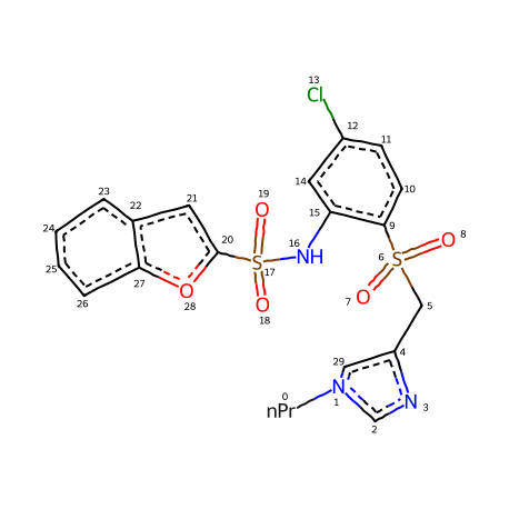 CCCn1cnc(CS(=O)(=O)c2ccc(Cl)cc2NS(=O)(=O)c2cc3ccccc3o2)c1